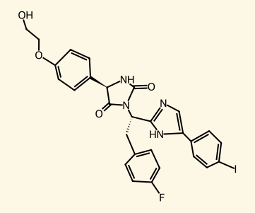 O=C1N[C@H](c2ccc(OCCO)cc2)C(=O)N1[C@@H](Cc1ccc(F)cc1)c1ncc(-c2ccc(I)cc2)[nH]1